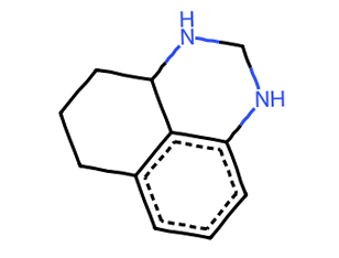 c1cc2c3c(c1)NCNC3CCC2